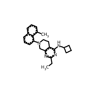 CCc1nc2c(c(NC3CCC3)n1)CCN(c1cccc3cccc(C)c13)C2